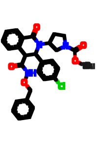 CC(C)(C)OC(=O)N1CCC(N2C(=O)c3ccccc3C(C(=O)NOCc3ccccc3)C2c2ccc(Cl)cc2)C1